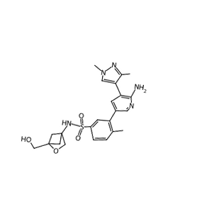 Cc1ccc(S(=O)(=O)NC23COC(CO)(C2)C3)cc1-c1cnc(N)c(-c2cn(C)nc2C)c1